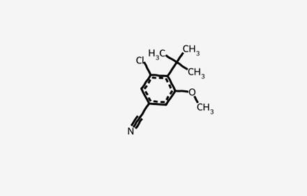 COc1cc(C#N)cc(Cl)c1C(C)(C)C